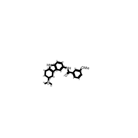 COc1cccc(C(=O)Nc2ccc3[nH]c4c(c3c2)CC(N(C)C)CC4)c1